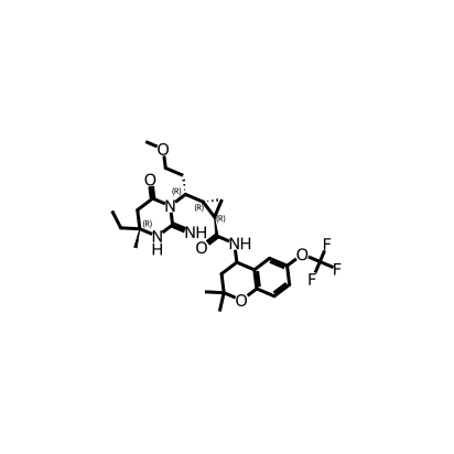 CC[C@]1(C)CC(=O)N([C@H](CCOC)[C@@H]2C[C@H]2C(=O)NC2CC(C)(C)Oc3ccc(OC(F)(F)F)cc32)C(=N)N1